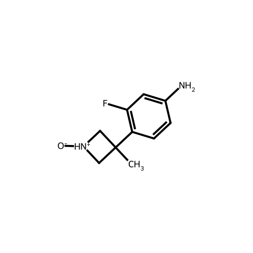 CC1(c2ccc(N)cc2F)C[NH+]([O-])C1